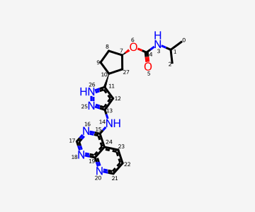 CC(C)NC(=O)O[C@@H]1CC[C@H](c2cc(Nc3ncnc4ncccc34)n[nH]2)C1